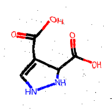 O=C(O)C1=CNNC1C(=O)O